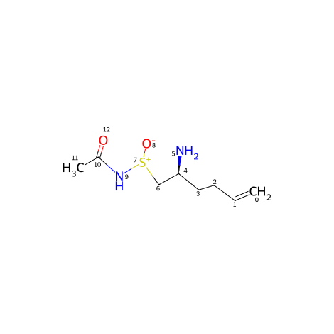 C=CCC[C@H](N)C[S+]([O-])NC(C)=O